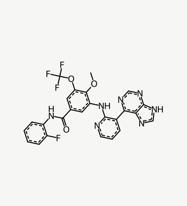 COc1c(Nc2ncccc2-c2ncnc3[nH]cnc23)cc(C(=O)Nc2ccccc2F)cc1OC(F)(F)F